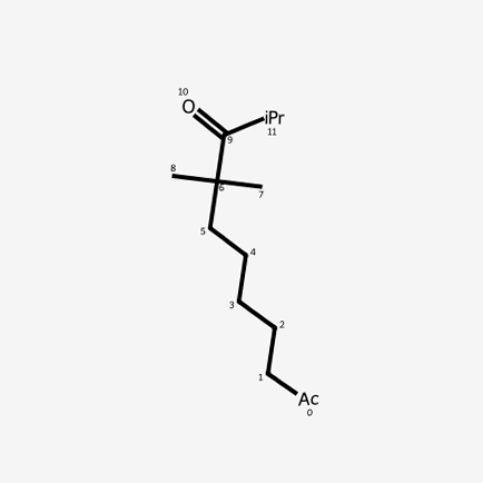 CC(=O)CCCCCC(C)(C)C(=O)C(C)C